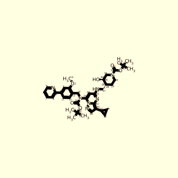 COc1cc(-c2ccccn2)ccc1CN(C(=O)OC(C)(C)C)c1cc(NC[C@H]2CCN(C(=O)OC(C)(C)C)C[C@@H]2O)nc2c(C3CC3)cnn12